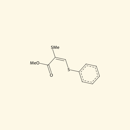 COC(=O)/C(=C\Sc1ccccc1)SC